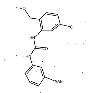 CSc1cccc(NC(=O)Nc2cc(Cl)ccc2CO)c1